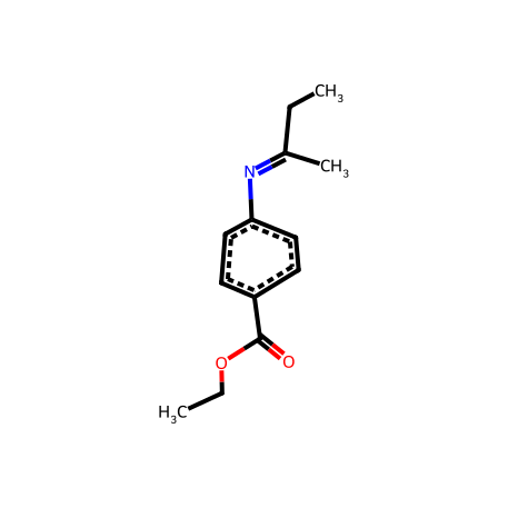 CCOC(=O)c1ccc(/N=C(\C)CC)cc1